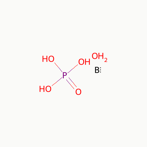 O.O=P(O)(O)O.[B]